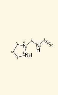 S=[C]NCN1CCCN1